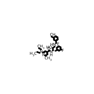 CCCN(CCC)c1cc(C(=O)N[C@@H](Cc2cc(F)cc(F)c2)[C@H](O)CNCc2cccc(CC)c2)cc(C)n1